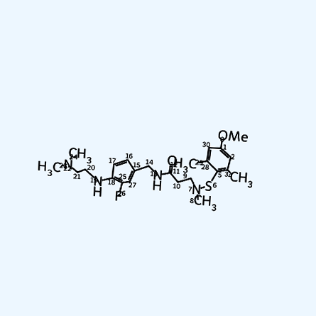 COc1cc(C)c(SN(C)CCC(=O)NCc2ccc(NCCN(C)C)c(F)c2)c(C)c1